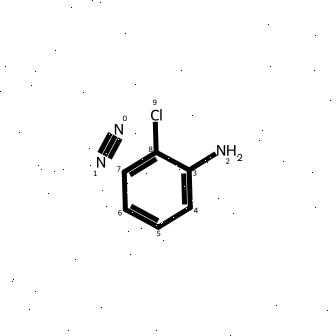 N#N.Nc1ccccc1Cl